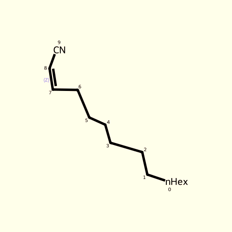 CCCCCCCCCCCC/C=C\C#N